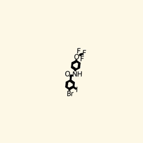 O=C(Nc1ccc(OC(F)(F)F)cc1)c1ccc(Br)c(I)c1